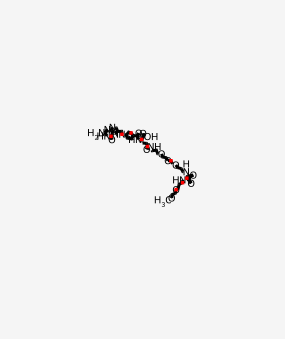 COCCOCCCNc1c(NCCCOCCOCCOCCCNC(=O)CC[C@H](NC(=O)c2ccc(NCc3cnc4nc(N)[nH]c(=O)c4n3)cc2)C(=O)O)c(=O)c1=O